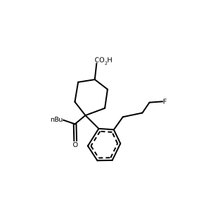 CCCCC(=O)C1(c2ccccc2CCCF)CCC(C(=O)O)CC1